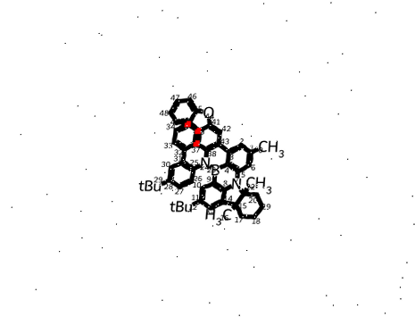 Cc1cc2c3c(c1)N1c4c(cc(C(C)(C)C)cc4C4(C)CCCCC14C)B3N(c1ccc(C(C)(C)C)cc1-c1ccccc1)c1cc3c(cc1-2)oc1ccccc13